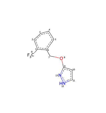 FC(F)(F)c1ccccc1COc1cc[nH]n1